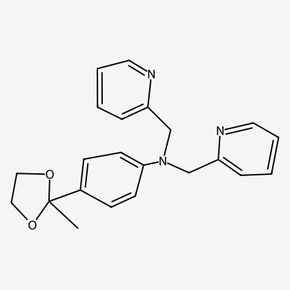 CC1(c2ccc(N(Cc3ccccn3)Cc3ccccn3)cc2)OCCO1